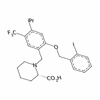 CC(C)c1cc(OCc2ccccc2I)c(CN2CCCC[C@H]2C(=O)O)cc1C(F)(F)F